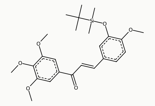 COc1ccc(C=CC(=O)c2cc(OC)c(OC)c(OC)c2)cc1O[Si](C)(C)C(C)(C)C